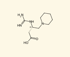 N=C(N)N[C@@H](CC(=O)O)CN1CCCCC1